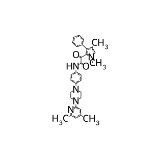 Cc1cc(C)nc(N2CCN(c3ccc(NC(=O)C(=O)c4c(-c5ccccc5)c(C)cn4C)cc3)CC2)c1